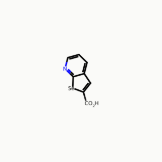 O=C(O)c1cc2cccnc2[se]1